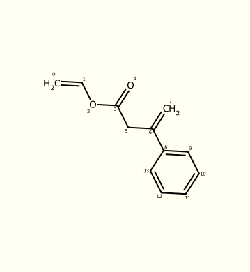 C=COC(=O)CC(=C)c1ccccc1